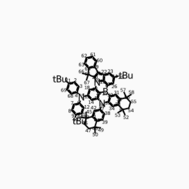 CC(C)(C)c1ccc(N(c2ccc(C(C)(C)C)cc2)c2cc3c4c(c2)-n2c5c(c6cc(C(C)(C)C)cc(c62)B4c2cc4c(cc2N3c2ccc3c(c2)C(C)(C)CCC3(C)C)C(C)(C)CCC4(C)C)-c2ccccc2C5(C)C)cc1